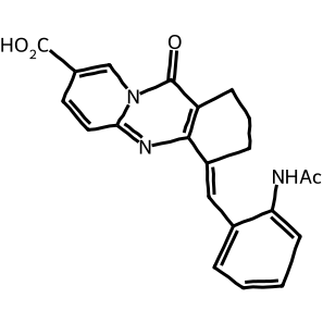 CC(=O)Nc1ccccc1C=C1CCCc2c1nc1ccc(C(=O)O)cn1c2=O